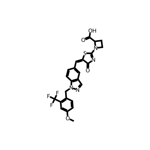 COc1ccc(Cn2ncc3cc(C=C4SC(N5CCC5C(=O)O)=NC4=O)ccc32)c(C(F)(F)F)c1